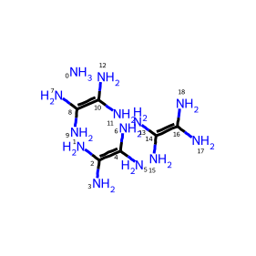 N.NC(N)=C(N)N.NC(N)=C(N)N.NC(N)=C(N)N